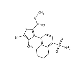 COC(=O)c1sc(Br)c(C)c1-c1ccc(S(N)(=O)=O)c2c1CCCC2